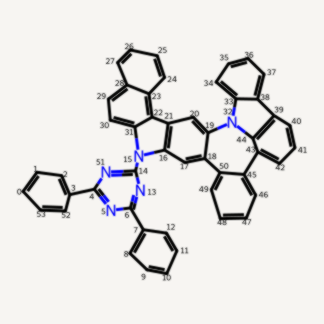 c1ccc(-c2nc(-c3ccccc3)nc(-n3c4cc5c(cc4c4c6ccccc6ccc43)-n3c4ccccc4c4cccc(c43)-c3ccccc3-5)n2)cc1